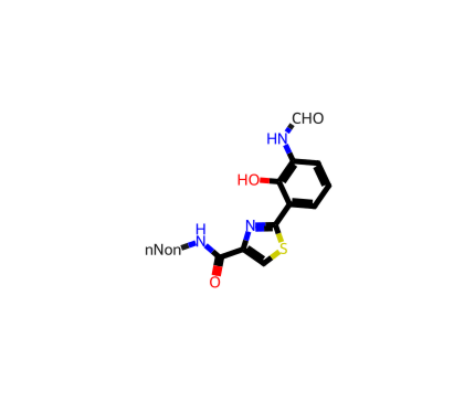 CCCCCCCCCNC(=O)c1csc(-c2cccc(NC=O)c2O)n1